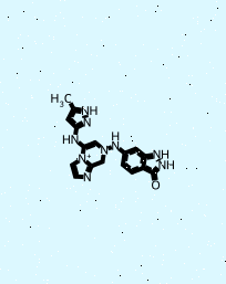 Cc1cc(NC2=CN(Nc3ccc4c(=O)[nH][nH]c4c3)CC3=NC=C[N+]23)n[nH]1